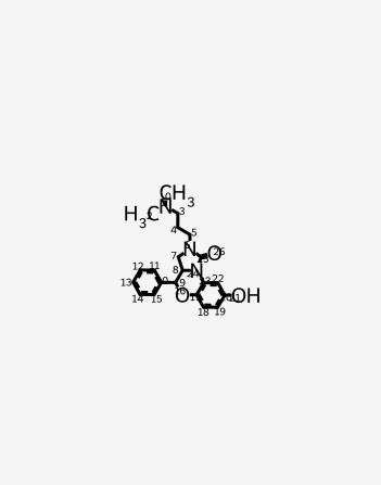 CN(C)CCCN1CC2C(c3ccccc3)Oc3ccc(O)cc3N2C1=O